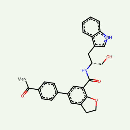 CNC(=O)c1ccc(-c2cc3c(c(C(=O)N[C@@H](CO)Cc4c[nH]c5ccccc45)c2)OCC3)cc1